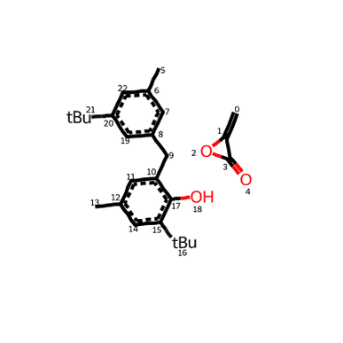 C=C1OC1=O.Cc1cc(Cc2cc(C)cc(C(C)(C)C)c2O)cc(C(C)(C)C)c1